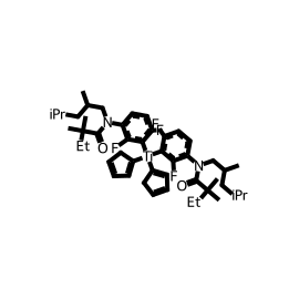 CCC(C)(C)C(=O)N(CC(C)CC(C)C)c1ccc(F)[c]([Ti]([C]2=CC=CC2)([C]2=CC=CC2)[c]2c(F)ccc(N(CC(C)CC(C)C)C(=O)C(C)(C)CC)c2F)c1F